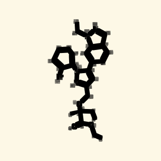 CCOC(=O)[C@@](C)(CC)OCc1cc(-c2ccc3cnn(CC)c3c2)n(-c2ccccc2Br)n1